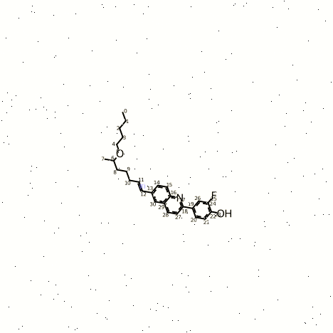 CCCCCOC(C)CCC/C=C/c1ccc2nc(-c3ccc(O)c(F)c3)ccc2c1